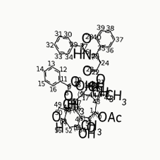 CC(=O)O[C@H]1C(=O)[C@@]2(C)[C@H]([C@H](OC(=O)c3ccccc3)[C@]3(O)C[C@H](OC(=O)C[C@@H](NC(=O)c4ccccc4)c4ccccc4)C(C)=C1C3(C)C)[C@]1(C)CO[C@@H]1C[C@@H]2O